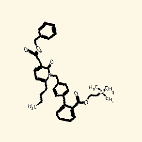 CCCCc1ccc(C(=O)OCc2ccccc2)c(=O)n1Cc1ccc(-c2ccccc2C(=O)OCC[Si](C)(C)C)cc1